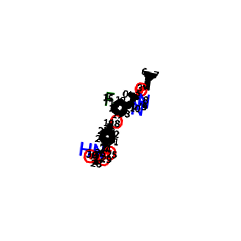 Cc1c(OCC2CC2)ncnc1-c1cc(F)cc(OCc2ccc(C(=O)NS(C)(=O)=O)cc2)c1